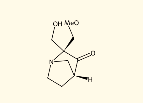 COC[C@@]1(CO)C(=O)[C@@H]2CCN1C2